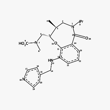 CC(C)N1C[C@H](C)[C@@H](CN(C)C(=O)O)Oc2c(NCc3ccncc3)cccc2C1=O